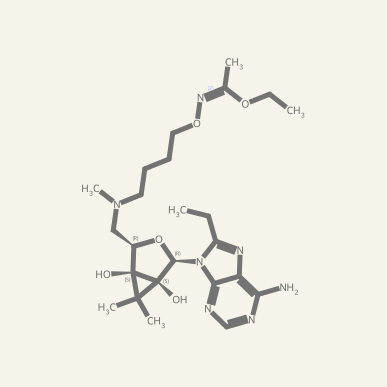 CCO/C(C)=N\OCCCCN(C)C[C@H]1O[C@@H](n2c(CC)nc3c(N)ncnc32)[C@]2(O)C(C)(C)[C@]12O